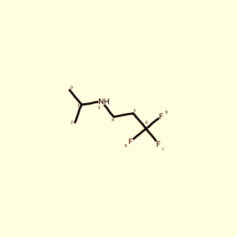 CC(C)NCCC(F)(F)F